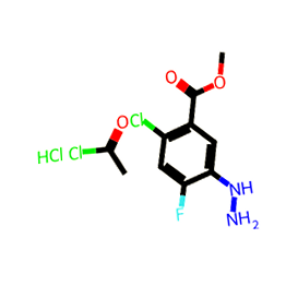 CC(=O)Cl.COC(=O)c1cc(NN)c(F)cc1Cl.Cl